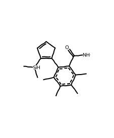 Cc1c(C)c(C)c(C2=C([SiH](C)C)C=CC2)c(C([NH])=O)c1C